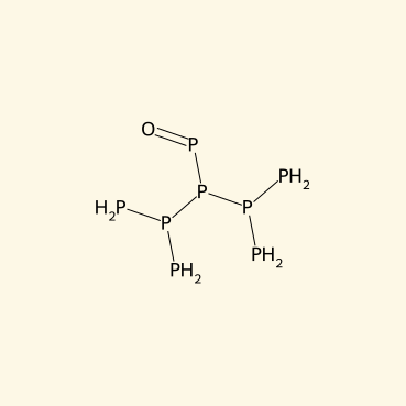 O=PP(P(P)P)P(P)P